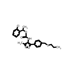 CCCSCc1ccc(-c2onc(C)c2NC(=O)OC(C)c2ccccc2Cl)cc1